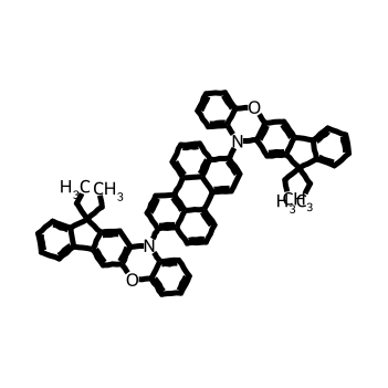 CCC1(CC)c2ccccc2-c2cc3c(cc21)N(c1ccc2c4cccc5c(N6c7ccccc7Oc7cc8c(cc76)C(CC)(CC)c6ccccc6-8)ccc(c6cccc1c62)c54)c1ccccc1O3